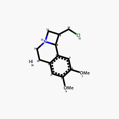 COc1cc2c(cc1OC)C1C(CCl)CN1CC2.I